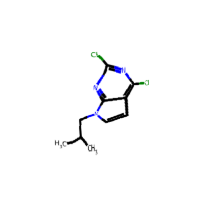 CC(C)Cn1ccc2c(Cl)nc(Cl)nc21